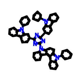 c1ccc(-n2c3ccccc3c3ccc(-c4nc(-c5ccc6c7ccccc7n(-c7ccccc7)c6c5)nc(-n5c6ccccc6c6c7c8ccccc8n(-c8ccccc8)c7ccc65)n4)cc32)cc1